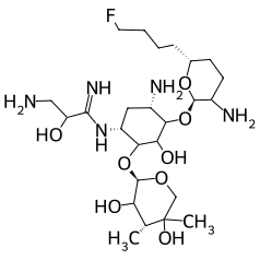 C[C@@H]1C(O)[C@@H](OC2C(O)C(O[C@H]3O[C@H](CCCCF)CCC3N)[C@@H](N)C[C@H]2NC(=N)C(O)CN)OCC1(C)O